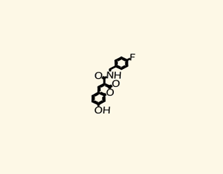 O=C(NCc1ccc(F)cc1)c1cc2ccc(O)cc2oc1=O